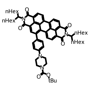 CCCCCCC(CCCCCC)N1C(=O)c2ccc3c4ccc5c6c(cc(-c7ccc(N8CCN(C(=O)OC(C)(C)C)CC8)cc7)c(c7ccc(c2c37)C1=O)c64)C(=O)N(C(CCCCCC)CCCCCC)C5=O